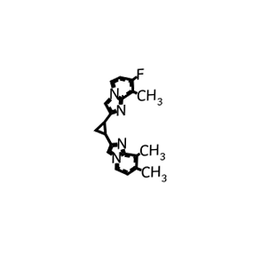 Cc1ccn2cc(C3CC3c3cn4ccc(F)c(C)c4n3)nc2c1C